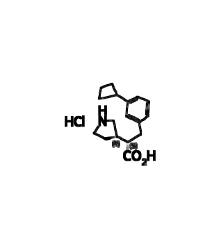 Cl.O=C(O)[C@@H](Cc1cccc(C2CCC2)c1)[C@H]1CCNC1